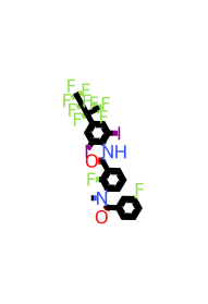 CN(C(=O)c1cccc(F)c1)c1cccc(C(=O)Nc2c(I)cc(C(F)(C(F)(F)F)C(F)(F)C(F)(F)F)cc2I)c1F